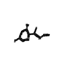 CO/N=C(\C)c1ccc(F)cc1Br